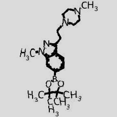 CN1CCN(CCc2nn(C)c3cc(B4OC(C)(C)C(C)(C)O4)ccc23)CC1